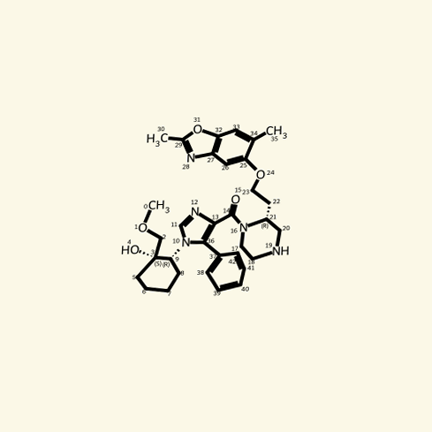 COC[C@]1(O)CCCC[C@H]1n1cnc(C(=O)N2CCNC[C@H]2CCOc2cc3nc(C)oc3cc2C)c1-c1ccccc1